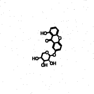 O=c1c2cc(O[C@@H]3OC[C@H](O)[C@H](O)[C@H]3O)ccc2oc2cccc(O)c12